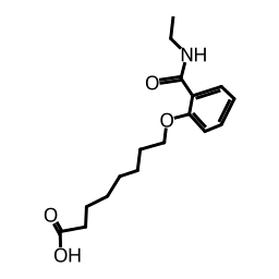 CCNC(=O)c1ccccc1OCCCCCCCC(=O)O